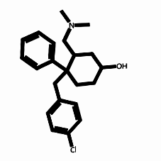 CN(C)CC1CC(O)CCC1(Cc1ccc(Cl)cc1)c1ccccc1